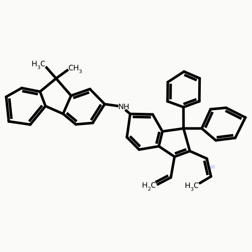 C=CC1=C(/C=C\C)C(c2ccccc2)(c2ccccc2)c2cc(Nc3ccc4c(c3)C(C)(C)c3ccccc3-4)ccc21